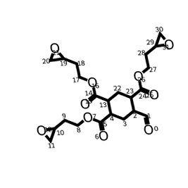 O=CC1CC(C(=O)OCCC2CO2)C(C(=O)OCCC2CO2)CC1C(=O)OCCC1CO1